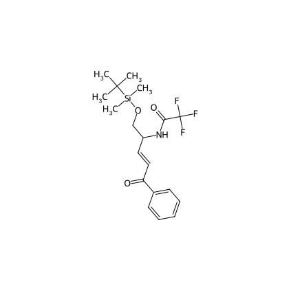 CC(C)(C)[Si](C)(C)OCC(C=CC(=O)c1ccccc1)NC(=O)C(F)(F)F